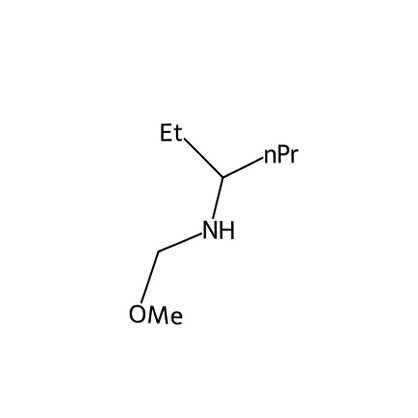 CCCC(CC)NCOC